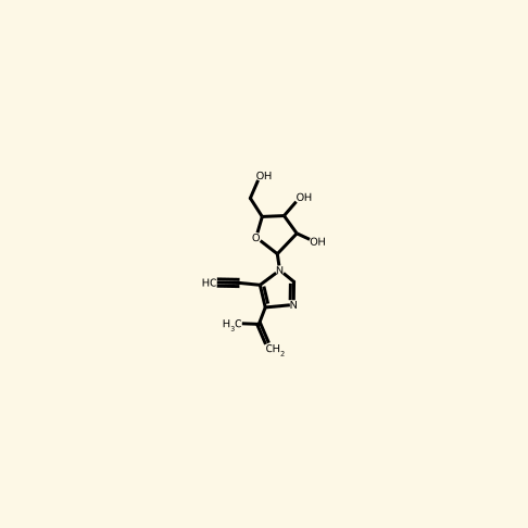 C#Cc1c(C(=C)C)ncn1C1OC(CO)C(O)C1O